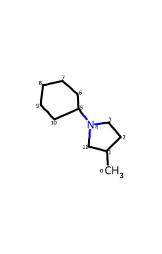 CC1CCN(C2CCCCC2)C1